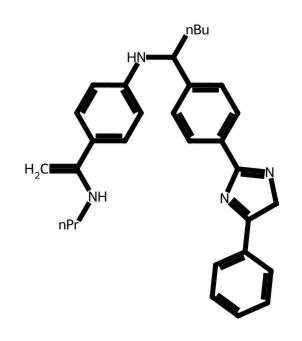 C=C(NCCC)c1ccc(NC(CCCC)c2ccc(C3=NCC(c4ccccc4)=N3)cc2)cc1